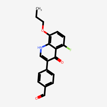 CCCOc1ccc(F)c2c(=O)c(-c3ccc(C=O)cc3)c[nH]c12